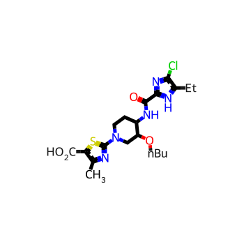 CCCCOC1CN(c2nc(C)c(C(=O)O)s2)CCC1NC(=O)c1nc(Cl)c(CC)[nH]1